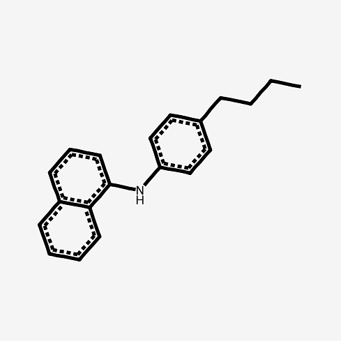 CCCCc1ccc(Nc2cccc3ccccc23)cc1